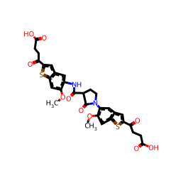 COc1cc2sc(C(=O)CCC(=O)O)cc2cc1NC(=O)C1CCN(c2cc3cc(C(=O)CCC(=O)O)sc3cc2OC)C1=O